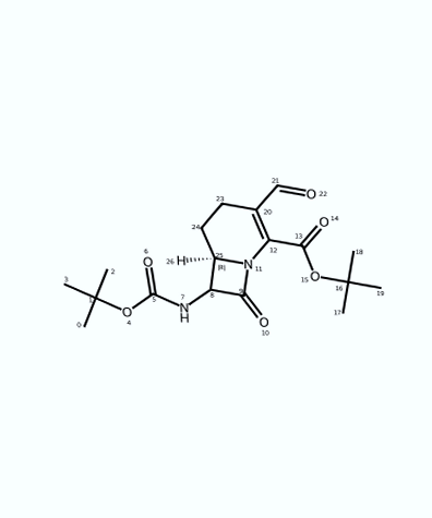 CC(C)(C)OC(=O)NC1C(=O)N2C(C(=O)OC(C)(C)C)=C(C=O)CC[C@H]12